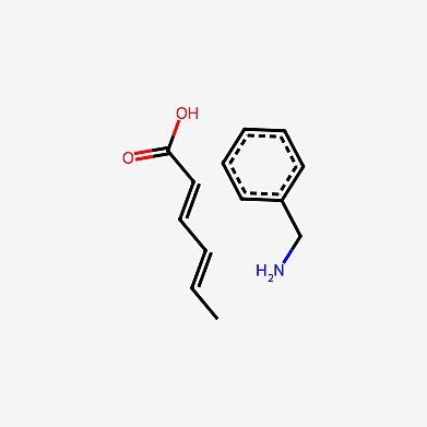 CC=CC=CC(=O)O.NCc1ccccc1